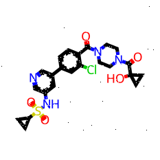 O=C(c1ccc(-c2cncc(NS(=O)(=O)C3CC3)c2)cc1Cl)N1CCN(C(=O)C2(O)CC2)CC1